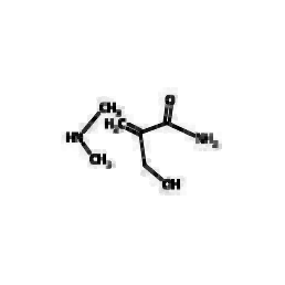 C=C(CO)C(N)=O.CNC